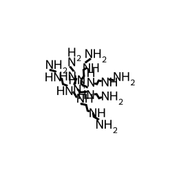 NCCNCCCNCC(NCCCNCCN)[N+](CCNCCN)(CCNCCN)C(CNCCNCCN)NCCNCCN